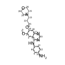 COc1cc2c(Nc3ccc(N)cc3)ncnc2cc1OCCCN1CCOCC1